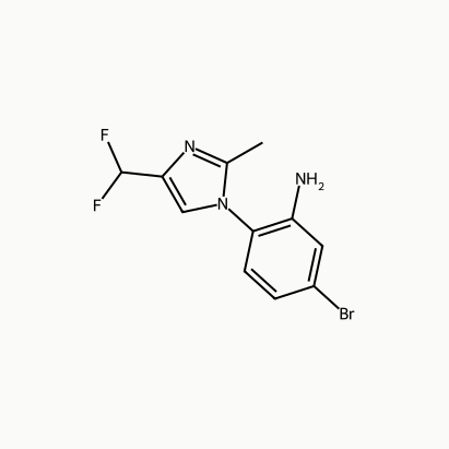 Cc1nc(C(F)F)cn1-c1ccc(Br)cc1N